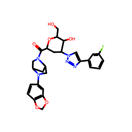 O=C(C1CC(n2cc(-c3cccc(F)c3)nn2)C(O)C(CO)O1)N1CC2CC1CN2c1ccc2c(c1)OCO2